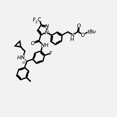 Cc1cccc([C@H](NCC2CC2)c2ccc(F)c(NC(=O)c3cc(C(F)(F)F)nn3-c3cccc(CNC(=O)OC(C)(C)C)c3)c2)c1